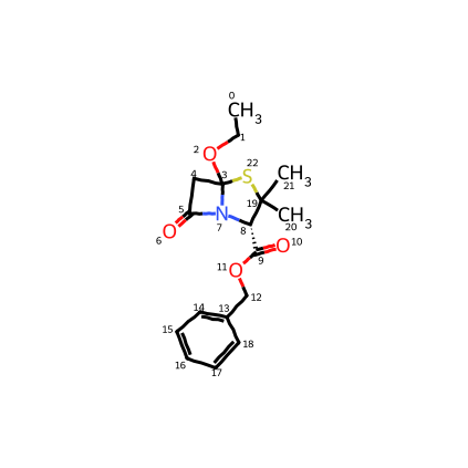 CCOC12CC(=O)N1[C@@H](C(=O)OCc1ccccc1)C(C)(C)S2